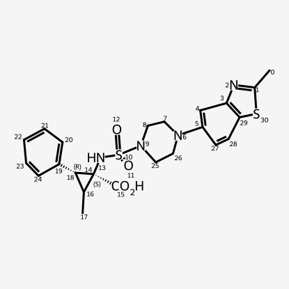 Cc1nc2cc(N3CCN(S(=O)(=O)N[C@@]4(C(=O)O)C(C)[C@@H]4c4ccccc4)CC3)ccc2s1